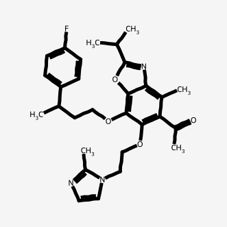 CC(=O)c1c(OCCn2ccnc2C)c(OCCC(C)c2ccc(F)cc2)c2oc(C(C)C)nc2c1C